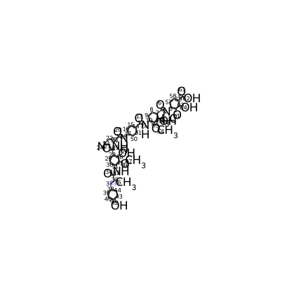 COc1c(NC(=O)c2ccc(NC(=O)c3ccc(NC(=O)[C@H](CC#N)NC(=O)c4ccc(NC(=O)/C(C)=C/c5ccc(O)cc5)c(OC)c4O)cc3)c(OC)c2O)ccc(C(=O)O)c1O